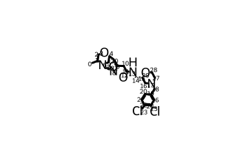 CC1COC2CN1c1nc(CC(=O)NC[C@H]3CN(Cc4ccc(Cl)c(Cl)c4)CCO3)c2o1